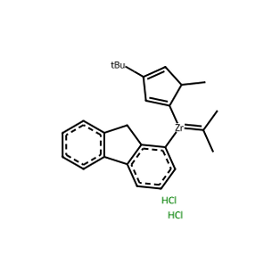 C[C](C)=[Zr]([C]1=CC(C(C)(C)C)=CC1C)[c]1cccc2c1Cc1ccccc1-2.Cl.Cl